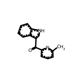 Cc1cccc(C(=O)c2c[nH]c3ccccc23)n1